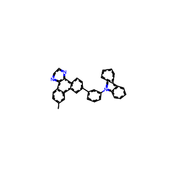 Cc1ccc2c(c1)c1cc(-c3cccc(-n4c5ccccc5c5ccccc54)c3)ccc1c1nccnc21